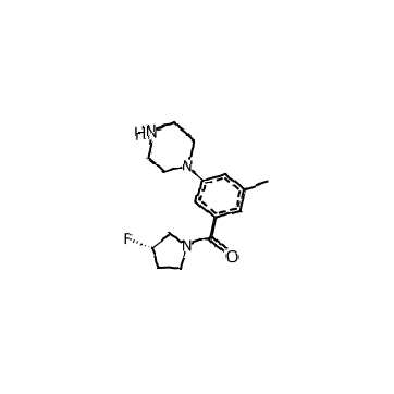 Cc1cc(C(=O)N2CC[C@H](F)C2)cc(N2CCNCC2)c1